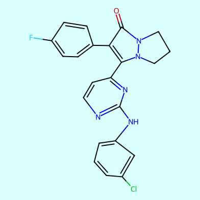 O=c1c(-c2ccc(F)cc2)c(-c2ccnc(Nc3cccc(Cl)c3)n2)n2n1CCC2